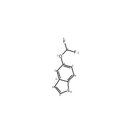 FC(F)Oc1ccc2s[c]cc2c1